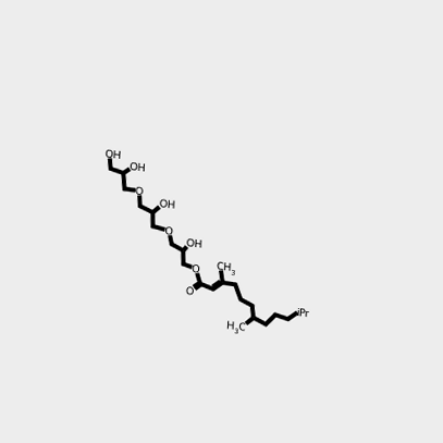 CC(=CC(=O)OCC(O)COCC(O)COCC(O)CO)CCCC(C)CCCC(C)C